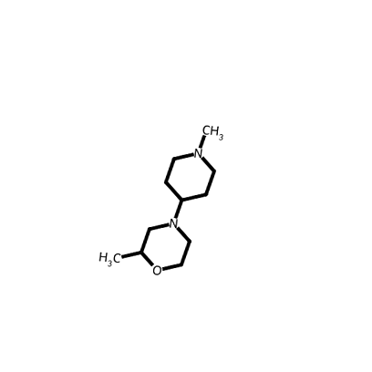 CC1CN(C2CCN(C)CC2)CCO1